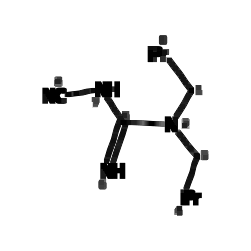 CC(C)CN(CC(C)C)C(=N)NC#N